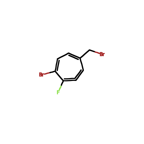 FC1=C=CC(CBr)=CC=C1Br